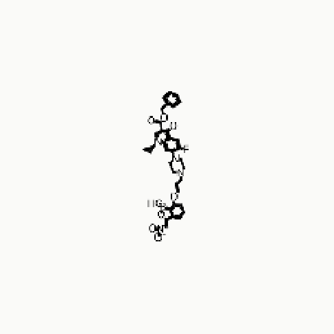 O=C(OCc1ccccc1)c1cn(C2CC2)c2cc(N3CCN(CCCOc4cccc5c4B(O)OC5C[N+](=O)[O-])CC3)c(F)cc2c1=O